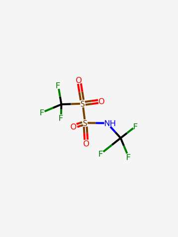 O=S(=O)(NC(F)(F)F)S(=O)(=O)C(F)(F)F